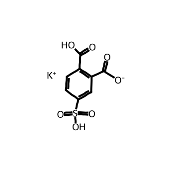 O=C([O-])c1cc(S(=O)(=O)O)ccc1C(=O)O.[K+]